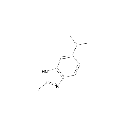 Cc1nc2ccc(C(C)C)cc2[nH]1